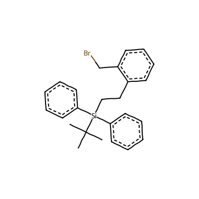 CC(C)(C)[Si](CCc1ccccc1CBr)(c1ccccc1)c1ccccc1